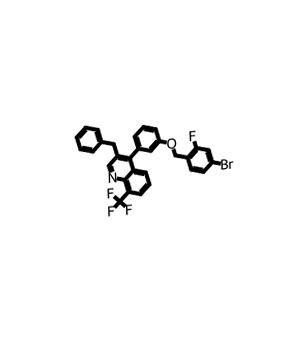 Fc1cc(Br)ccc1COc1cccc(-c2c(Cc3ccccc3)cnc3c(C(F)(F)F)cccc23)c1